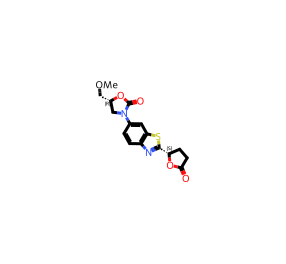 COC[C@H]1CN(c2ccc3nc([C@@H]4CCC(=O)O4)sc3c2)C(=O)O1